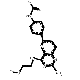 CCOCCNc1nc(N)nc2ccc(-c3ccc(NC(=O)CC)cc3)nc12